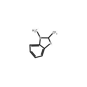 CN1c2ccccc2SC1C(F)(F)F